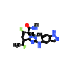 C=C(C(=O)NCC)/C(F)=C\C(=C(/C)F)c1nc(Nc2ccc3[nH]ncc3c2)n(C)n1